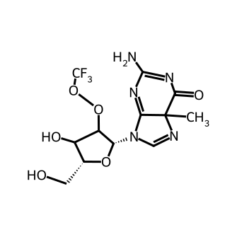 CC12N=CN([C@@H]3O[C@H](CO)C(O)C3OOC(F)(F)F)C1=NC(N)=NC2=O